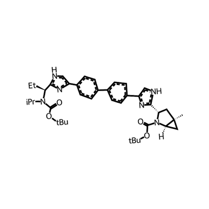 CC[C@@H](c1nc(-c2ccc(-c3ccc(-c4c[nH]c([C@@H]5C[C@@]6(C)C[C@H]6N5C(=O)OC(C)(C)C)n4)cc3)cc2)c[nH]1)N(C(=O)OC(C)(C)C)C(C)C